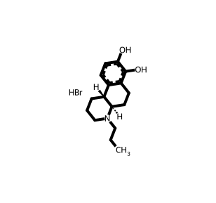 Br.CCCN1CCC[C@@H]2c3ccc(O)c(O)c3CC[C@H]21